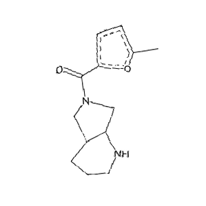 Cc1ccc(C(=O)N2CC3CCCNC3C2)o1